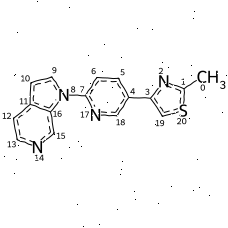 Cc1nc(-c2ccc(-n3ccc4ccncc43)nc2)cs1